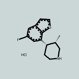 C[C@@H]1CNCC[C@@H]1c1cc(F)cc2ccsc12.Cl